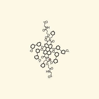 COc1cccc(-c2cccc(Oc3cc4c5c(cc(Oc6cccc(-c7cccc(OC)c7)c6)c6c7c(Oc8cccc(-c9cccc(OC)c9)c8)cc8c9c(cc(Oc%10cccc(-c%11cccc(OC)c%11)c%10)c(c3c56)c97)C(=O)N(C(Cc3ccccc3)C(=O)OCCC(=O)NCC3CO3)C8=O)C(=O)N(C(Cc3ccccc3)C(=O)OCCC(=O)NCC3CO3)C4=O)c2)c1